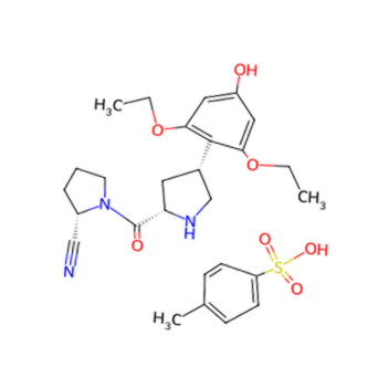 CCOc1cc(O)cc(OCC)c1[C@@H]1CN[C@H](C(=O)N2CCC[C@H]2C#N)C1.Cc1ccc(S(=O)(=O)O)cc1